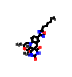 CCCCCc1nc(-c2ccc3c(c2)CC2(C(=O)NC(=O)NC2=O)[C@H]2[C@H](C)O[C@H](C)CN32)no1